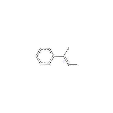 C/N=C(\I)c1ccccc1